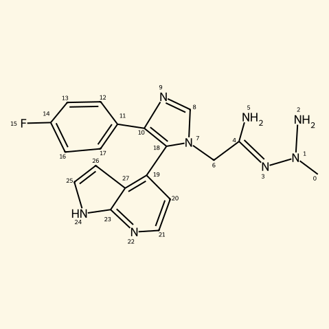 CN(N)/N=C(\N)Cn1cnc(-c2ccc(F)cc2)c1-c1ccnc2[nH]ccc12